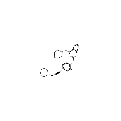 Clc1cc(C#CCN2CCOCC2)ccc1Nc1nc(NC2CCCCC2)c2nc[nH]c2n1